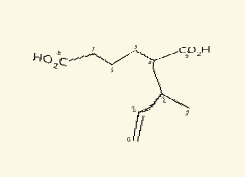 C=CC(C)C(CCCC(=O)O)C(=O)O